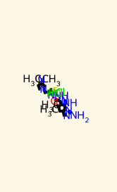 CN(C)[C@@H]1CCN(Cc2csc(NC(=O)c3n[nH]c4c3C(C)(C)Cc3cnc(N)nc3-4)n2)C1.Cl.Cl